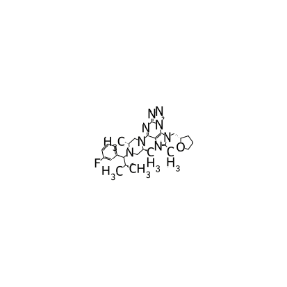 Cc1nc2c(N3C[C@@H](C)N(C(c4cccc(F)c4)C(C)C)C[C@@H]3C)nc3nncn3c2n1C[C@@H]1CCCO1